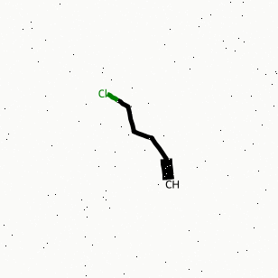 C#CCC[CH]Cl